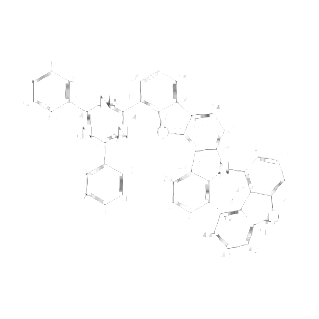 c1ccc(-c2nc(-c3ccccc3)nc(-c3cccc4c3oc3c4ccc4c3c3ccccc3n4-c3cccc4oc5ccccc5c34)n2)cc1